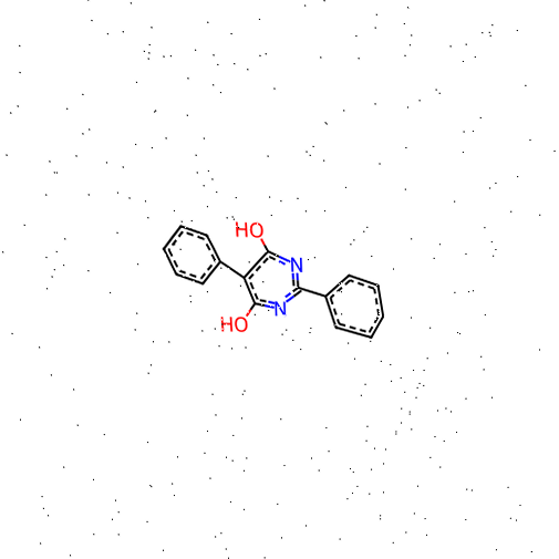 Oc1nc(-c2ccccc2)nc(O)c1-c1ccccc1